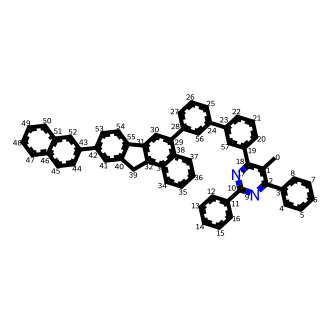 Cc1c(-c2ccccc2)nc(-c2ccccc2)nc1-c1cccc(-c2cccc(-c3cc4c(c5ccccc35)Cc3cc(-c5ccc6ccccc6c5)ccc3-4)c2)c1